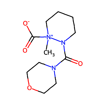 C[N+]1(C(=O)[O-])CCCCN1C(=O)N1CCOCC1